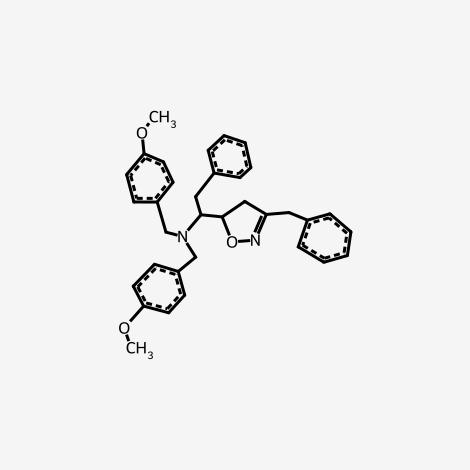 COc1ccc(CN(Cc2ccc(OC)cc2)C(Cc2ccccc2)C2CC(Cc3ccccc3)=NO2)cc1